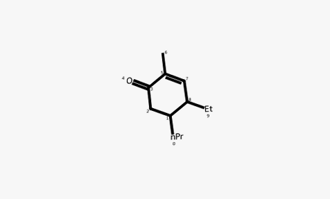 CCCC1CC(=O)C(C)=CC1CC